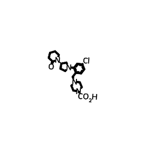 O=C(O)N1CCN(Cc2ccc(Cl)cc2N2CC[C@H](N3CCCCC3=O)C2)CC1